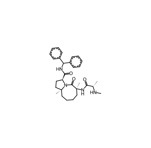 CN[C@@H](C)C(=O)N[C@@]1(C)CCCC[C@@]2(C)CC[C@@H](C(=O)NC(c3ccccc3)c3ccccc3)N2C1=O